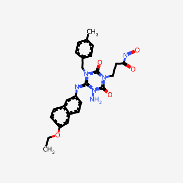 CCOc1ccc2cc(/N=c3\n(N)c(=O)n(CCC(=O)N=O)c(=O)n3Cc3ccc(C)cc3)ccc2c1